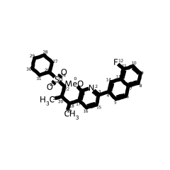 COc1nc(-c2ccc3cccc(F)c3c2)ccc1C(C)C(C)CS(=O)(=O)C1CCCCC1